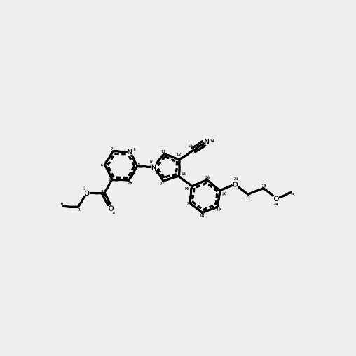 CCOC(=O)c1ccnc(-n2cc(C#N)c(-c3cccc(OCCOC)c3)c2)c1